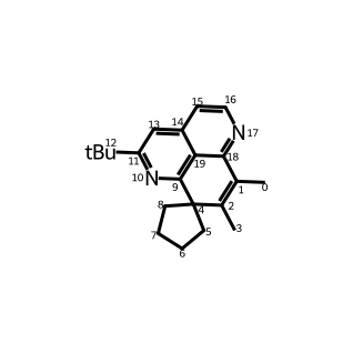 CC1=C(C)C2(CCCC2)c2nc(C(C)(C)C)cc3ccnc1c23